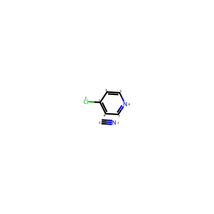 C#N.Clc1ccncc1